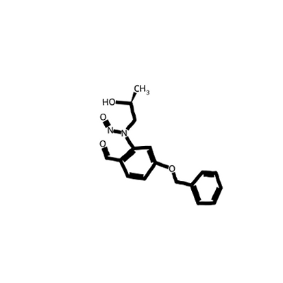 C[C@H](O)CN(N=O)c1cc(OCc2ccccc2)ccc1C=O